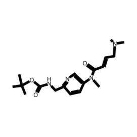 CN(C)C/C=C/C(=O)N(C)c1ccc(CNC(=O)OC(C)(C)C)nc1